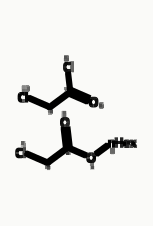 CCCCCCOC(=O)CCl.O=C(Cl)CCl